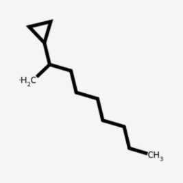 [CH2]C(CCCCCCC)C1CC1